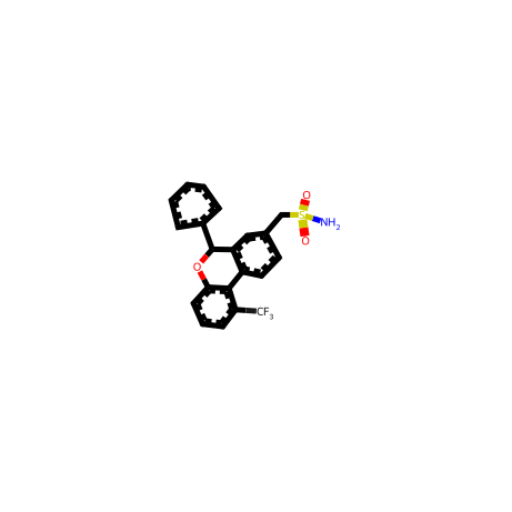 NS(=O)(=O)Cc1ccc2c(c1)C(c1ccccc1)Oc1cccc(C(F)(F)F)c1-2